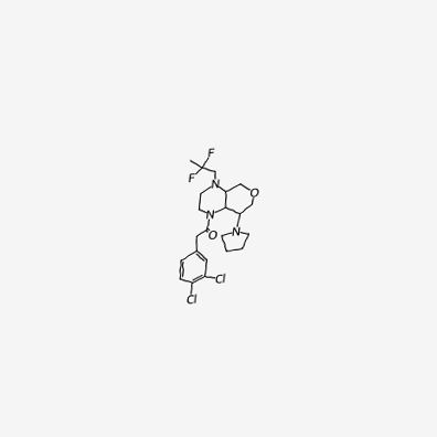 CC(F)(F)CN1CCN(C(=O)Cc2ccc(Cl)c(Cl)c2)C2C(N3CCCC3)COCC21